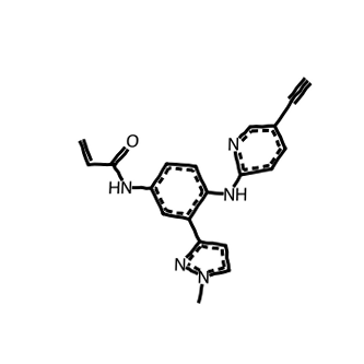 C#Cc1ccc(Nc2ccc(NC(=O)C=C)cc2-c2ccn(C)n2)nc1